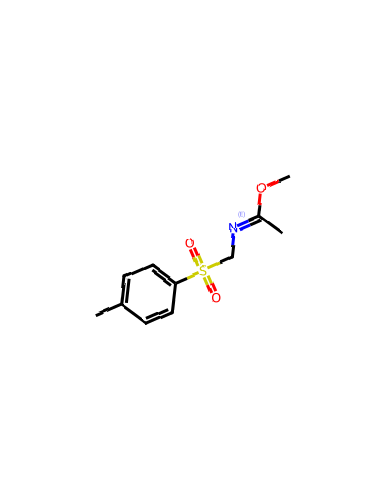 CO/C(C)=N/CS(=O)(=O)c1ccc(C)cc1